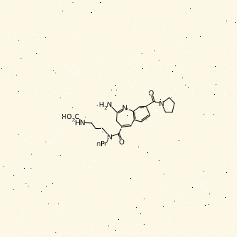 CCCN(CCCNC(=O)O)C(=O)C1=Cc2ccc(C(=O)N3CCCC3)cc2N=C(N)C1